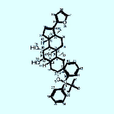 CC(C)(C)[Si](O[C@H]1CC[C@@]2(C)[C@H](C1)[C@@H](O)[C@H](O)C1[C@@H]2CC[C@]2(C)C(c3ccco3)=CC[C@@H]12)(c1ccccc1)c1ccccc1